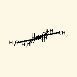 CCCCCCCCCCCCCC(CCCN)CC(=O)NCC(O)CN1CCN(CC(O)CNC(=O)CC(CCCN)CCCCCCCCCCCCC)CC1